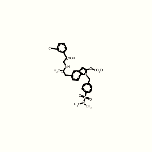 CCOC(=O)Oc1cc2cc(C[C@@H](C)NC[C@H](O)c3cccc(Cl)c3)ccc2n1Cc1ccc(S(=O)(=O)N(C)C)cc1